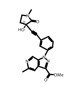 COC(=O)c1nn(-c2cccc(C#C[C@]3(O)CCN(C)C3=O)c2)c2cnc(C)cc12